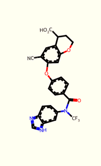 N#Cc1cc2c(cc1Oc1ccc(C(=O)N(c3ccc4nc[nH]c4c3)C(F)(F)F)cc1)OCCC2C(=O)O